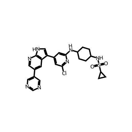 O=S(=O)(NC1CCC(Nc2cc(-c3c[nH]c4ncc(-c5cncnc5)cc34)cc(Cl)n2)CC1)C1CC1